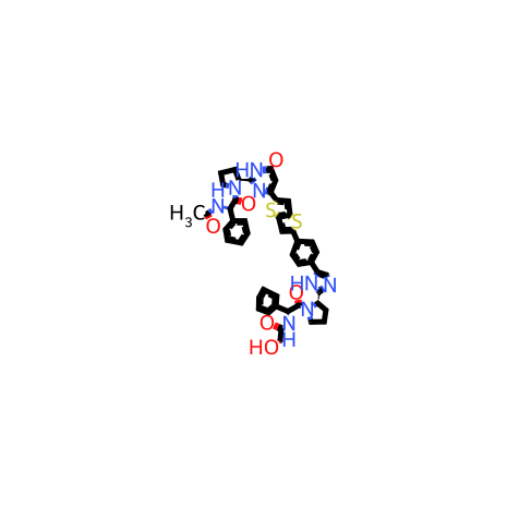 CC(=O)N[C@@H](C(=O)N1CCC[C@H]1c1nc(-c2cc3sc(-c4ccc(-c5cnc([C@@H]6CCCN6C(=O)[C@H](NC(=O)CO)c6ccccc6)[nH]5)cc4)cc3s2)cc(=O)[nH]1)c1ccccc1